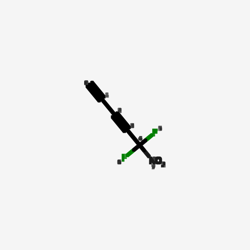 C#CC#CC(F)(F)[N+](=O)[O-]